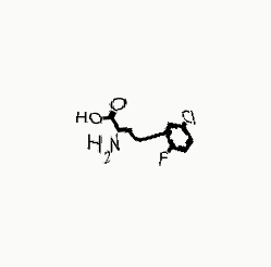 N[C@@H](CCc1cc(Cl)ccc1F)C(=O)O